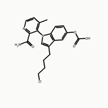 Cc1ccnc(C(N)=O)c1-n1cc(CCCCCl)c2cc(OC(=O)O)ccc21